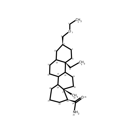 CCOC[C@H]1CC[C@@]2(CC)C(CCC3C2CC[C@@]2(C)C3CCC[C@@H]2C(N)=O)C1